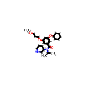 COCCCOc1cc(OC2CCCCC2)cc(C(=O)N(C(C)C)[C@@H]2CCCNC2)c1